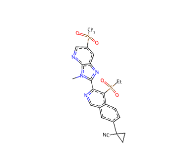 CCS(=O)(=O)c1c(-c2nc3cc(S(=O)(=O)C(F)(F)F)cnc3n2C)ncc2cc(C3(C#N)CC3)ccc12